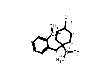 COc1ccccc1CC1(N(C)C)CCC(C)CC1